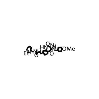 CCN1CC=CC=C1CNC(=O)CCc1ccc2c(=O)c3c(nnn3Cc3ccc(OC)cc3)c(=O)[nH]c2c1